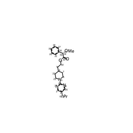 CCCc1cnc(N2CCC(CCOC(=O)[C@@H](OC)c3ccccc3)CC2)nc1